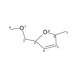 COCC1C=CC(C)O1